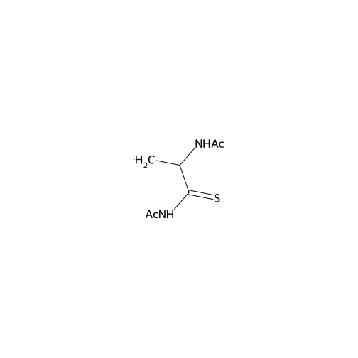 [CH2]C(NC(C)=O)C(=S)NC(C)=O